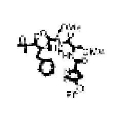 CCOc1cc(C(=O)NC(COC)C(=O)N[C@@H](COC)C(=O)NC(Cc2ccccc2)C(=O)C2(C)CO2)no1